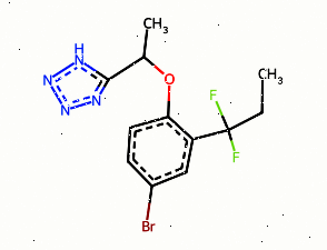 CCC(F)(F)c1cc(Br)ccc1OC(C)c1nnn[nH]1